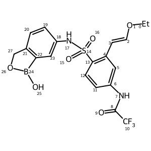 CCO/C=C/c1cc(NC(=O)C(F)(F)F)ccc1S(=O)(=O)Nc1ccc2c(c1)B(O)OC2